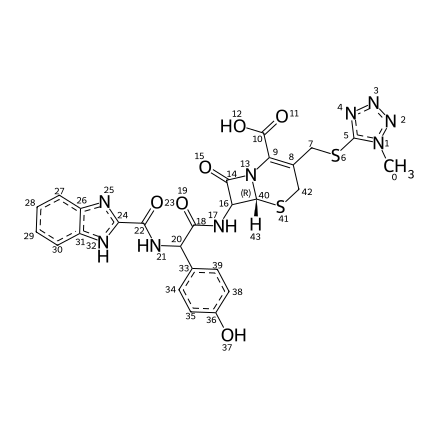 Cn1nnnc1SCC1=C(C(=O)O)N2C(=O)C(NC(=O)C(NC(=O)c3nc4ccccc4[nH]3)c3ccc(O)cc3)[C@H]2SC1